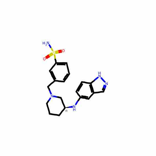 NS(=O)(=O)c1cccc(CN2CCC[C@H](Nc3ccc4[nH]ncc4c3)C2)c1